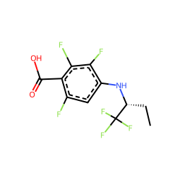 CC[C@@H](Nc1cc(F)c(C(=O)O)c(F)c1F)C(F)(F)F